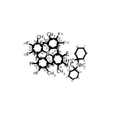 CC1([NH2+]C2(C)CCCCC2)CCCCC1.Cc1c(F)c(F)c(F)c([B-](c2c(F)c(C)c(F)c(F)c2F)(c2c(F)c(C)c(F)c(F)c2F)c2c(F)c(C)c(F)c(F)c2F)c1F